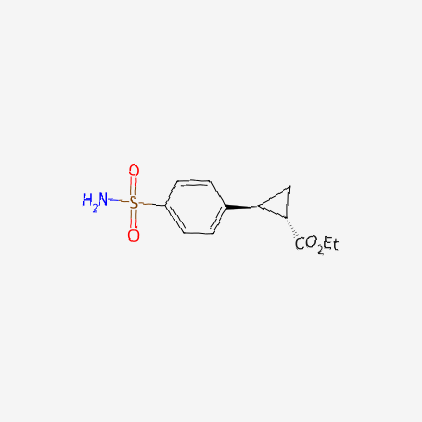 CCOC(=O)[C@H]1C[C@@H]1c1ccc(S(N)(=O)=O)cc1